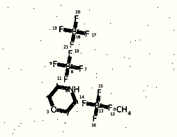 C.C1COCCN1.F[B-](F)(F)F.F[B-](F)(F)F.F[B-](F)(F)F